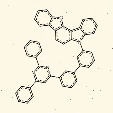 c1ccc(-c2cc(-c3cccc(-c4cccc(-n5c6ccccc6c6c7oc8ccccc8c7ccc65)c4)c3)nc(-c3ccccc3)n2)cc1